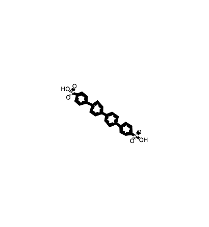 O=S(=O)(O)c1ccc(-c2ccc(-c3ccc(-c4ccc(S(=O)(=O)O)cc4)cc3)cc2)cc1